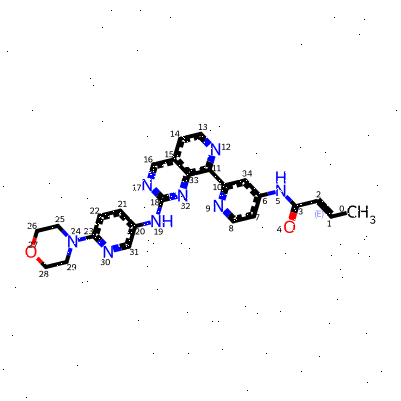 C/C=C/C(=O)Nc1ccnc(-c2nccc3cnc(Nc4ccc(N5CCOCC5)nc4)nc23)c1